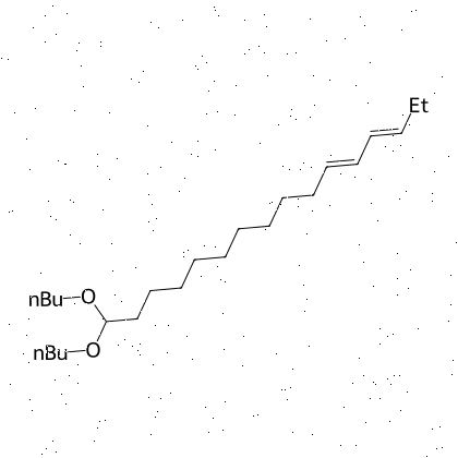 CCC=CC=CCCCCCCCCCC(OCCCC)OCCCC